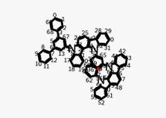 c1ccc(-c2cc(-c3ccccc3)cc(-n3c4ccccc4c4c3ccc3c5ccccc5n(-c5cccc(-n6c7ccccc7c7ccc8c9ccccc9n(-c9ccccc9)c8c76)c5)c34)c2)cc1